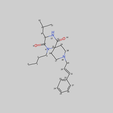 CCCCN1C(=O)C(CC(C)C)NC(=O)C12CCN(CC=Cc1ccccc1)CC2